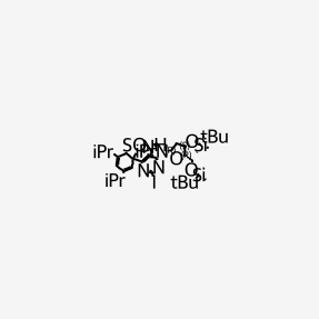 CC(C)C1=CC(c2nc(I)nc3c2ncn3[C@H]2C[C@H](O[Si](C)(C)C(C)(C)C)[C@@H](CO[Si](C)(C)C(C)(C)C)O2)(C(C)C)C(S(=O)(=O)O)C(C(C)C)=C1